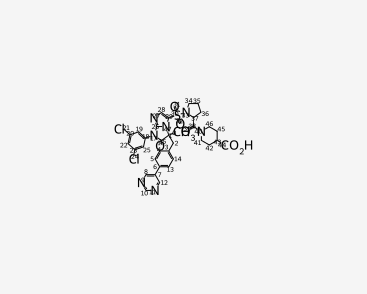 C[C@@]1(Cc2ccc(-c3cncnc3)cc2)C(=O)N(c2cc(Cl)cc(Cl)c2)c2ncc(S(=O)(=O)N3CCC[C@H]3C(=O)N3CCC(C(=O)O)CC3)n21